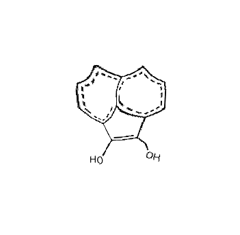 OC1=C(O)c2cccc3cccc1c23